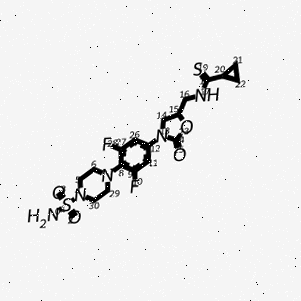 NS(=O)(=O)N1CCN(c2c(F)cc(N3CC(CNC(=S)C4CC4)OC3=O)cc2F)CC1